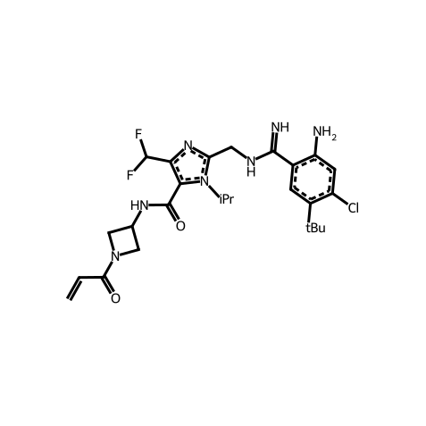 C=CC(=O)N1CC(NC(=O)c2c(C(F)F)nc(CNC(=N)c3cc(C(C)(C)C)c(Cl)cc3N)n2C(C)C)C1